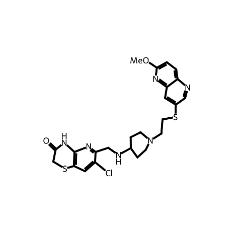 COc1ccc2ncc(SCCN3CCC(NCc4nc5c(cc4Cl)SCC(=O)N5)CC3)cc2n1